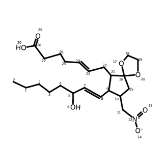 CCCCCC(O)C=CC1C(C[N+](=O)[O-])CC2(OCCO2)C1CC=CCCCC(=O)O